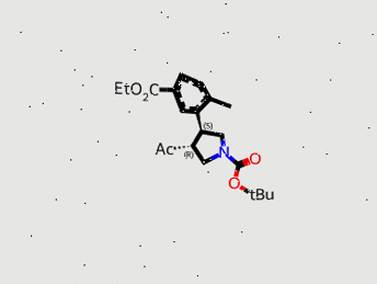 CCOC(=O)c1ccc(C)c([C@H]2CN(C(=O)OC(C)(C)C)C[C@@H]2C(C)=O)c1